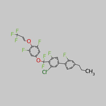 CCCc1ccc(-c2cc(F)c(C(F)(F)Oc3cc(F)c(O/C=C/C(F)(F)F)c(F)c3)c(Cl)c2)c(F)c1